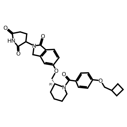 O=C1CCC(N2Cc3cc(OC[C@H]4CCCCN4C(=O)c4ccc(OCC5CCC5)cc4)ccc3C2=O)C(=O)N1